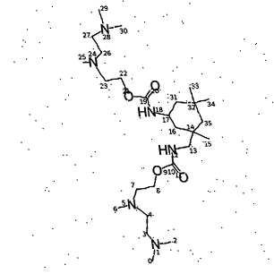 CN(C)CCN(C)CCOC(=O)NCC1(C)CC(NC(=O)OCCN(C)CCN(C)C)CC(C)(C)C1